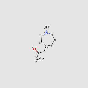 COC(=O)CC1CCCN(C(C)C)CC1